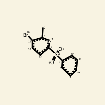 Cc1nc(S(=O)(=O)c2ccccc2)ccc1Br